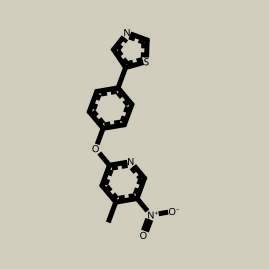 Cc1cc(Oc2ccc(-c3cncs3)cc2)ncc1[N+](=O)[O-]